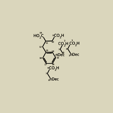 CCCCCCCCCCCC(=O)O.CCCCCCCCCCCC(=O)O.CCCCCCCCCCCC(=O)O.O=C(O)CC(Cc1ccccc1)C(=O)O